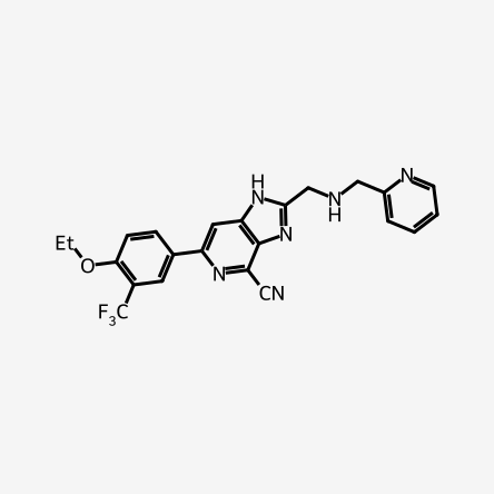 CCOc1ccc(-c2cc3[nH]c(CNCc4ccccn4)nc3c(C#N)n2)cc1C(F)(F)F